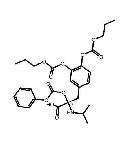 CCCOC(=O)Oc1ccc(C[C@](NC(C)C)(OC(=O)Oc2ccccc2)C(=O)O)cc1OC(=O)OCCC